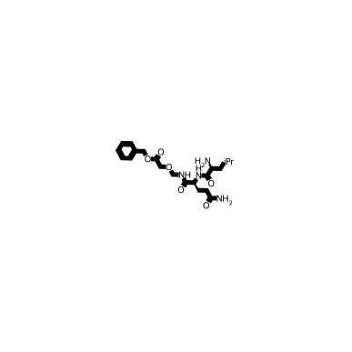 CC(C)C[C@H](N)C(=O)N[C@@H](CCC(N)=O)C(=O)NCOCC(=O)OCc1ccccc1